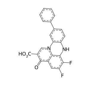 O=C(O)c1cn2c3c(c(F)c(F)cc3c1=O)Nc1ccc(-c3ccccc3)cc1-2